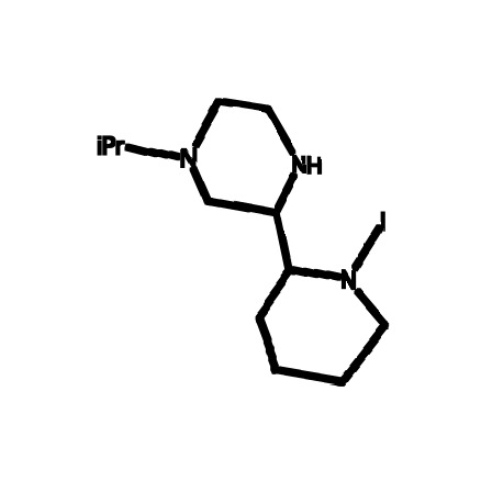 CC(C)N1CCNC(C2CCCCN2I)C1